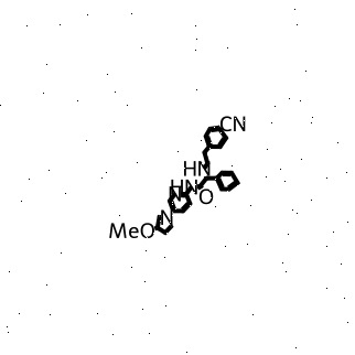 COC1CCN(c2ccc(NC(=O)C(NCCc3ccc(C#N)cc3)c3ccccc3)nc2)C1